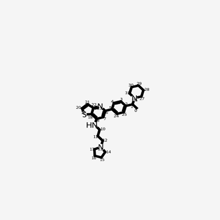 CC(c1ccc(-c2cc(NCCCN3CCCC3)c3sccc3n2)cc1)N1CCCCC1